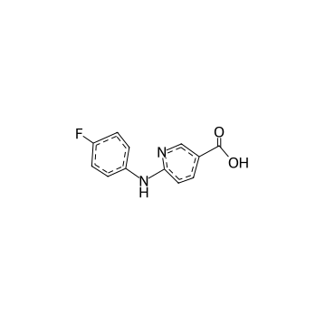 O=C(O)c1ccc(Nc2ccc(F)cc2)nc1